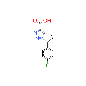 O=C(O)c1nnn2c1CCC2c1ccc(Cl)cc1